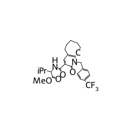 COC(=O)C(NC(=O)c1cc2c(n(Cc3ccc(C(F)(F)F)cc3)c1=O)CCCCCC2)C(C)C